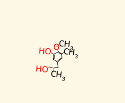 COc1c(C)cc(C[C@H](C)CO)cc1O